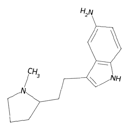 CN1CCCC1CCc1c[nH]c2ccc(N)cc12